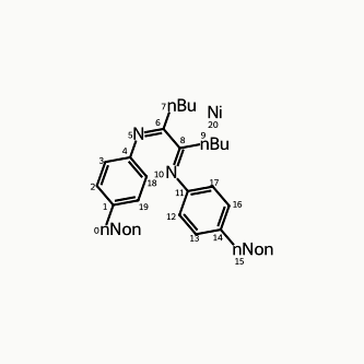 CCCCCCCCCc1ccc(N=C(CCCC)C(CCCC)=Nc2ccc(CCCCCCCCC)cc2)cc1.[Ni]